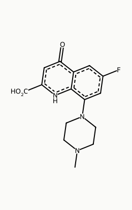 CN1CCN(c2cc(F)cc3c(=O)cc(C(=O)O)[nH]c23)CC1